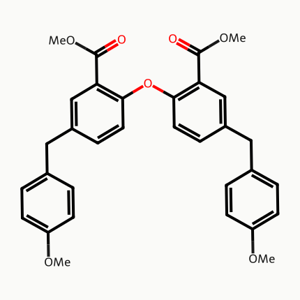 COC(=O)c1cc(Cc2ccc(OC)cc2)ccc1Oc1ccc(Cc2ccc(OC)cc2)cc1C(=O)OC